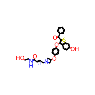 O=C(/C=C/CN1CC(Oc2ccc(Oc3c(C(=O)c4ccccc4)sc4cc(O)ccc34)cc2)C1)NCCO